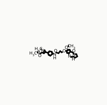 COC(=O)c1cc(-c2ccc(NC(=O)CCCOc3cc4c(cc3OC)C(=O)N3CCC[C@H]3C=N4)cc2)cn1C